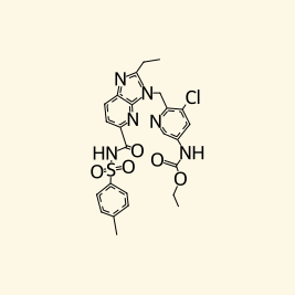 CCOC(=O)Nc1cnc(Cn2c(CC)nc3ccc(C(=O)NS(=O)(=O)c4ccc(C)cc4)nc32)c(Cl)c1